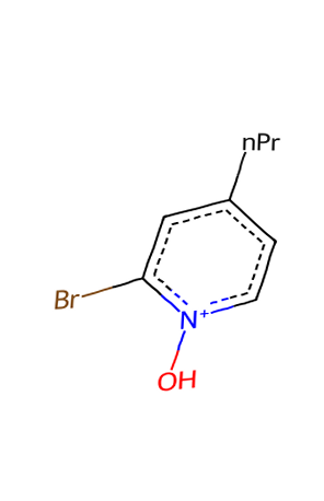 CCCc1cc[n+](O)c(Br)c1